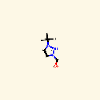 CCC(C)(C)N1C=CN(CO)N1